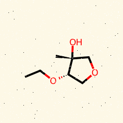 CCO[C@H]1COC[C@@]1(C)O